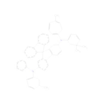 CC1=CCC(N(C2=CC=CC(C)(C)C2)C2C=CC3=C(C2)C2(c4cc(N(C5=CC=CC(C)C5)c5ccccc5)ccc43)c3ccccc3-c3ccccc32)=CC=C1